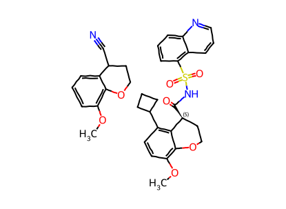 COc1ccc(C2CCC2)c2c1OCC[C@@H]2C(=O)NS(=O)(=O)c1cccc2ncccc12.COc1cccc2c1OCCC2C#N